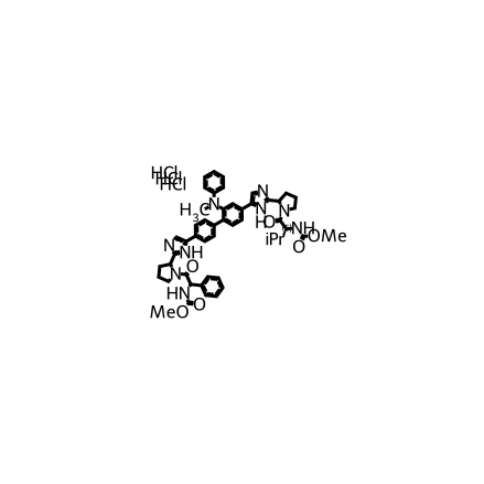 COC(=O)NC(C(=O)N1CCCC1c1ncc(-c2ccc(-c3ccc(-c4cnc(C5CCCN5C(=O)[C@@H](NC(=O)OC)C(C)C)[nH]4)cc3N(C)c3ccccc3)cc2)[nH]1)c1ccccc1.Cl.Cl.Cl